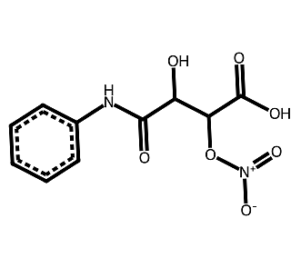 O=C(Nc1ccccc1)C(O)C(O[N+](=O)[O-])C(=O)O